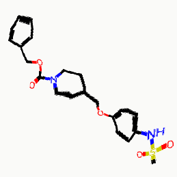 CS(=O)(=O)Nc1ccc(OCC2CCN(C(=O)OCc3ccccc3)CC2)cc1